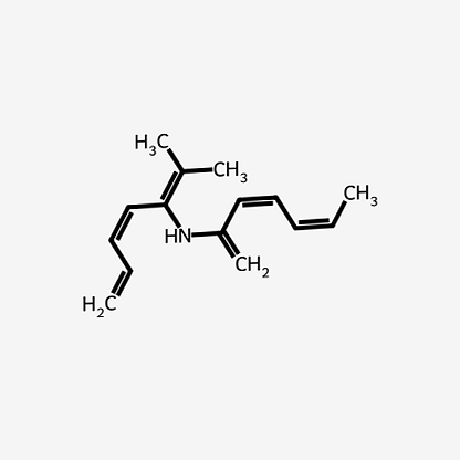 C=C/C=C\C(NC(=C)/C=C\C=C/C)=C(C)C